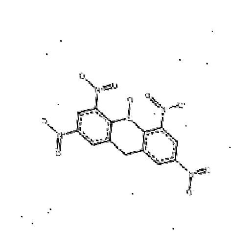 O=[N+]([O-])c1cc2c(c([N+](=O)[O-])c1)[S+]([O-])c1c(cc([N+](=O)[O-])cc1[N+](=O)[O-])C2